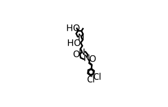 CC1CN(CC(O)CCN2CCN(C(=O)/C=C/c3ccc(Cl)c(Cl)c3)CCC2=O)CCC1O